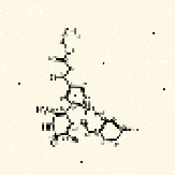 CCOC(=O)CC(=O)c1ccc(C)c(-c2c(C)[nH]c(=O)c(Br)c2OCc2ccc(F)cc2F)c1